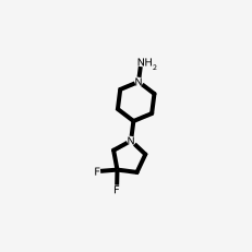 NN1CCC(N2CCC(F)(F)C2)CC1